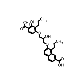 CCCc1c(OCC(O)COc2ccc3ccc(C(=O)O)cc3c2CCC)ccc(C(C)=O)c1O